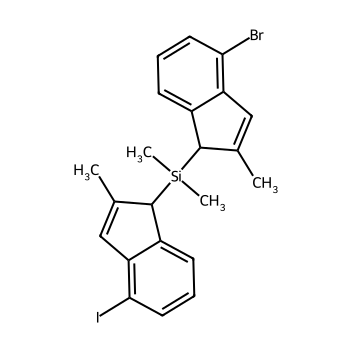 CC1=Cc2c(Br)cccc2C1[Si](C)(C)C1C(C)=Cc2c(I)cccc21